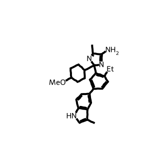 CCc1ccc(-c2ccc3[nH]cc(C)c3c2)cc1C1(C2CCC(OC)CC2)N=C(C)C(N)=N1